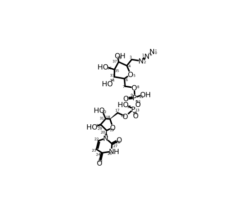 [N-]=[N+]=NCC1OC(COP(=O)(O)OP(=O)(O)OC[C@H]2O[C@@H](n3ccc(=O)[nH]c3=O)C(O)C2O)[C@H](O)C(O)C1O